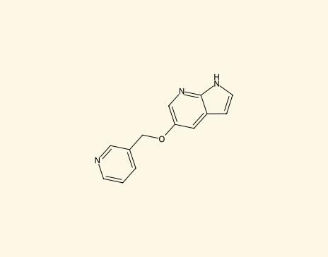 c1cncc(COc2cnc3[nH]ccc3c2)c1